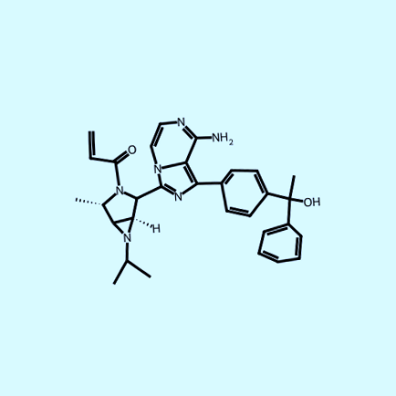 C=CC(=O)N1C(c2nc(-c3ccc(C(C)(O)c4ccccc4)cc3)c3c(N)nccn23)[C@@H]2C([C@@H]1C)N2C(C)C